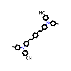 Cc1ccc(N(c2ccc(C#N)cc2)c2ccc(/C=C/c3ccc(/C=C/c4ccc(N(c5ccc(C)cc5)c5ccc(C#N)cc5)cc4)cc3)cc2)cc1